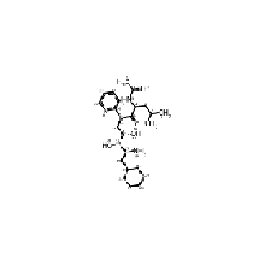 CC(=O)NC(CC(C)C)C(=O)N(C[C@H](O)[C@H](O)[C@@H](N)CC1CCCCC1)c1ccccn1